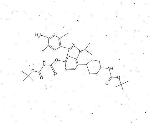 CC(C)n1nc(-c2cc(F)c(N)cc2F)c2c(OC(=O)NC(=O)OC(C)(C)C)ncc(C3CCC(NC(=O)OC(C)(C)C)CC3)c21